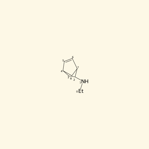 CCNC1CC2C=CC1C2